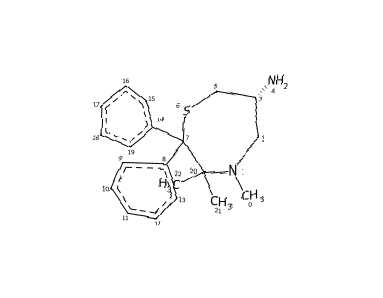 CN1C[C@@H](N)CSC(c2ccccc2)(c2ccccc2)C1(C)C